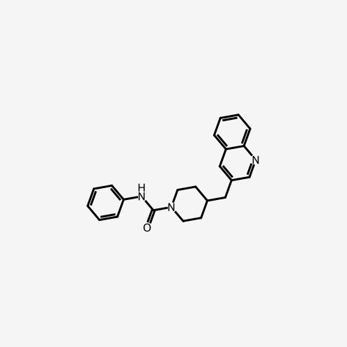 O=C(Nc1ccccc1)N1CCC(Cc2cnc3ccccc3c2)CC1